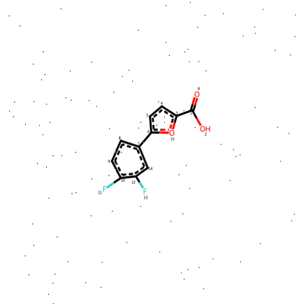 O=C(O)c1ccc(-c2ccc(F)c(F)c2)o1